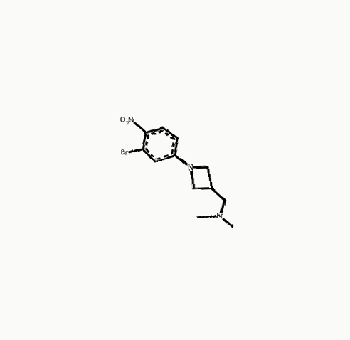 CN(C)CC1CN(c2ccc([N+](=O)[O-])c(Br)c2)C1